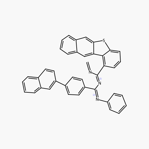 C=N/C(=N\C(=N/c1ccccc1)c1ccc(-c2ccc3ccccc3c2)cc1)c1cccc2sc3cc4ccccc4cc3c12